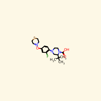 CC(C)(C)C1CN(c2ccc(ON3CCSCC3)cc2F)CCN1C(=O)O